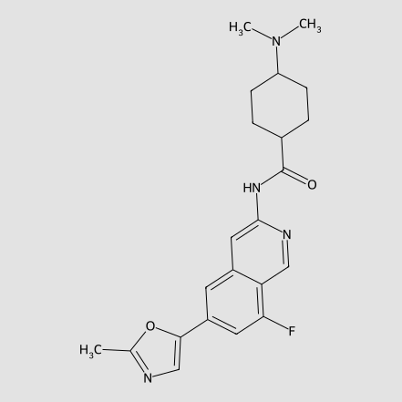 Cc1ncc(-c2cc(F)c3cnc(NC(=O)C4CCC(N(C)C)CC4)cc3c2)o1